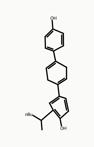 CCCCC(C)c1cc(C2=CCC(c3ccc(O)cc3)=CC2)ccc1O